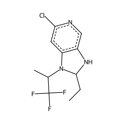 CCC1Nc2cnc(Cl)cc2N1C(C)C(F)(F)F